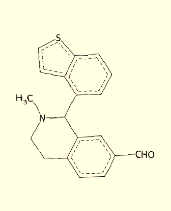 CN1CCc2ccc(C=O)cc2C1c1cccc2sccc12